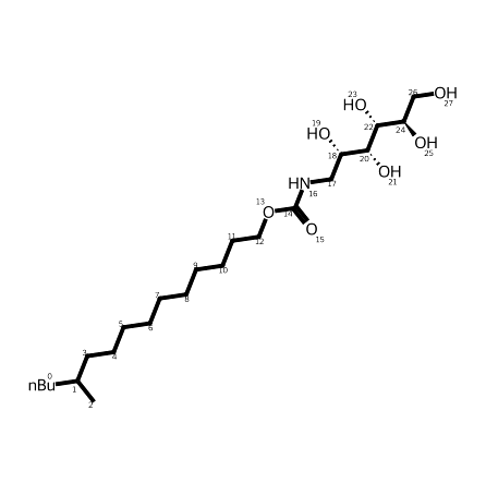 CCCCC(C)CCCCCCCCCCOC(=O)NC[C@H](O)[C@@H](O)[C@H](O)[C@H](O)CO